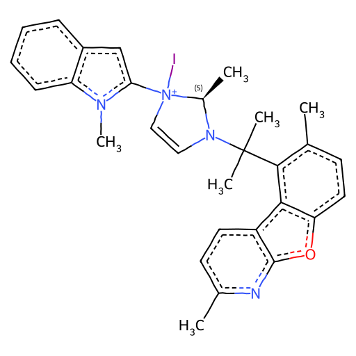 Cc1ccc2c(n1)oc1ccc(C)c(C(C)(C)N3C=C[N+](I)(c4cc5ccccc5n4C)[C@H]3C)c12